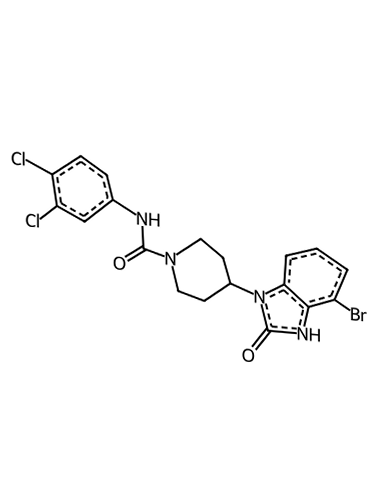 O=C(Nc1ccc(Cl)c(Cl)c1)N1CCC(n2c(=O)[nH]c3c(Br)cccc32)CC1